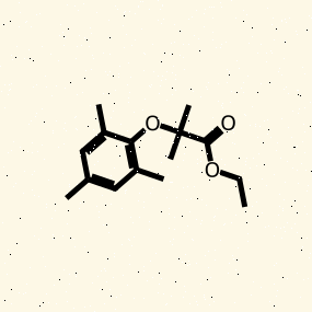 CCOC(=O)C(C)(C)Oc1c(C)cc(C)cc1C